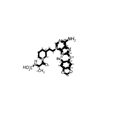 C[C@H](NC(=O)O)C(=O)N1CCCC(CCn2cnc(N)c3nc(Sc4cc5c(cc4Br)OCO5)nc2-3)C1